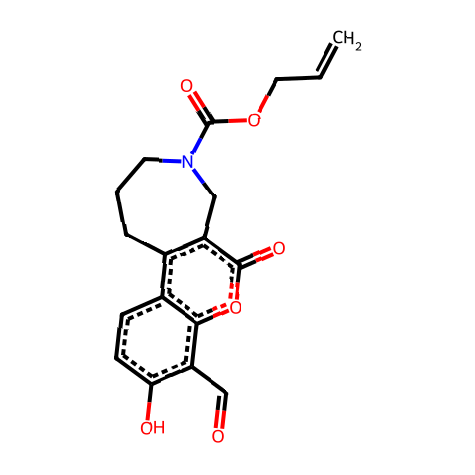 C=CCOC(=O)N1CCCc2c(c(=O)oc3c(C=O)c(O)ccc23)C1